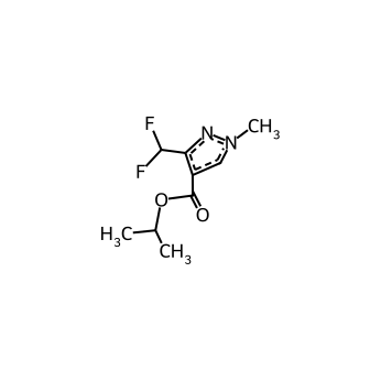 CC(C)OC(=O)c1cn(C)nc1C(F)F